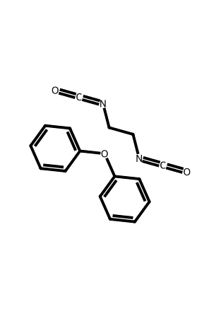 O=C=NCCN=C=O.c1ccc(Oc2ccccc2)cc1